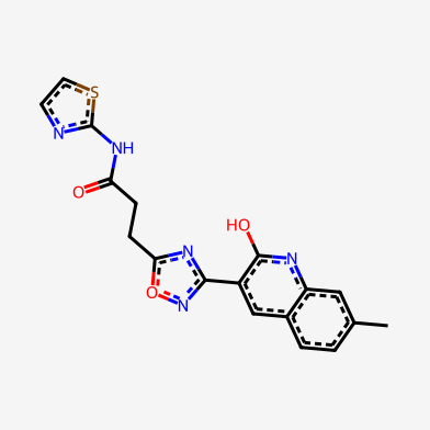 Cc1ccc2cc(-c3noc(CCC(=O)Nc4nccs4)n3)c(O)nc2c1